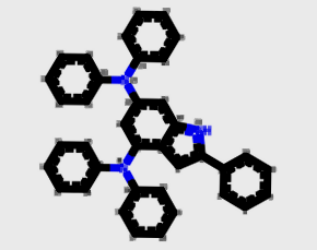 c1ccc(-c2cc3c(N(c4ccccc4)c4ccccc4)cc(N(c4ccccc4)c4ccccc4)cc3[nH]2)cc1